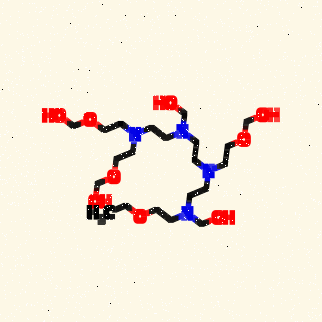 CCOCCN(CO)CCN(CCOCO)CCN(CO)CCN(CCOCO)CCOCO